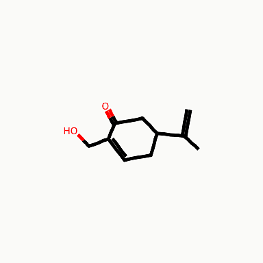 C=C(C)C1CC=C(CO)C(=O)C1